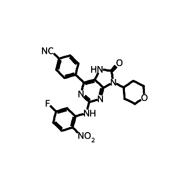 N#Cc1ccc(-c2nc(Nc3cc(F)ccc3[N+](=O)[O-])nc3c2[nH]c(=O)n3C2CCOCC2)cc1